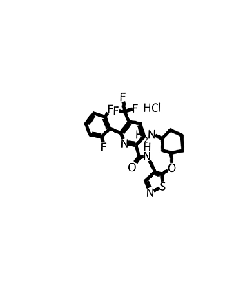 Cl.NC1CCCC(Oc2sncc2NC(=O)c2ccc(C(F)(F)F)c(-c3c(F)cccc3F)n2)C1